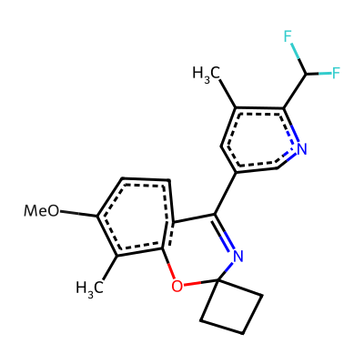 COc1ccc2c(c1C)OC1(CCC1)N=C2c1cnc(C(F)F)c(C)c1